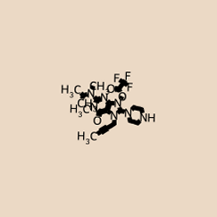 CC#CCN1c2c(nc(N(C)C(C)C)n(C)c2=O)N(OC(=O)C(F)(F)F)C1N1CCNCC1